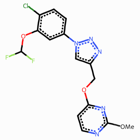 COc1nccc(OCc2cn(-c3ccc(Cl)c(OC(F)F)c3)nn2)n1